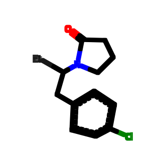 [CH2]CC(Cc1ccc(Cl)cc1)N1CCCC1=O